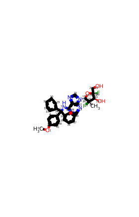 COc1ccc(C(Nc2ncnc3c2ncn3[C@@H]2O[C@](F)(CO)[C@@H](O)[C@@]2(C)F)(c2ccccc2)c2ccccc2)cc1